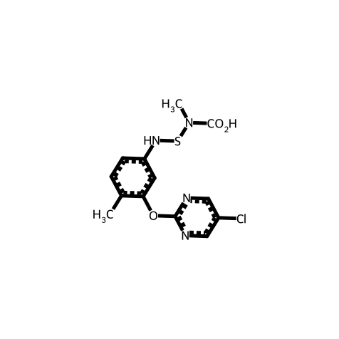 Cc1ccc(NSN(C)C(=O)O)cc1Oc1ncc(Cl)cn1